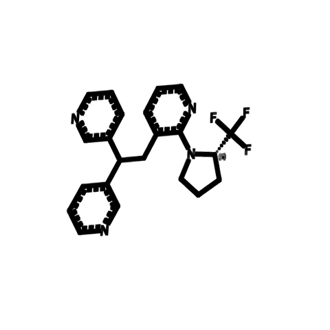 FC(F)(F)[C@@H]1CCCN1c1ncccc1CC(c1cccnc1)c1cccnc1